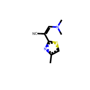 Cc1csc(/C(C#N)=C\N(C)C)n1